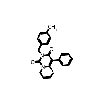 Cc1ccc(Cn2c(=O)c(-c3ccccc3)c3n(c2=O)CC=CS3)cc1